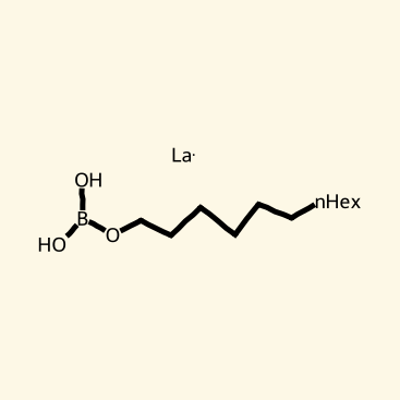 CCCCCCCCCCCCOB(O)O.[La]